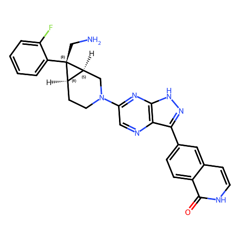 NC[C@]1(c2ccccc2F)[C@@H]2CCN(c3cnc4c(-c5ccc6c(=O)[nH]ccc6c5)n[nH]c4n3)C[C@@H]21